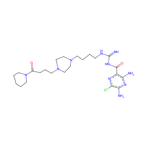 N=C(NCCCCN1CCN(CCCC(=O)N2CCCCC2)CC1)NC(=O)c1nc(Cl)c(N)nc1N